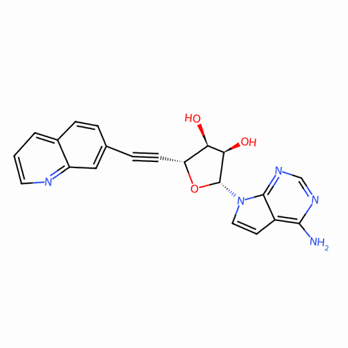 Nc1ncnc2c1ccn2[C@@H]1O[C@H](C#Cc2ccc3cccnc3c2)[C@@H](O)[C@H]1O